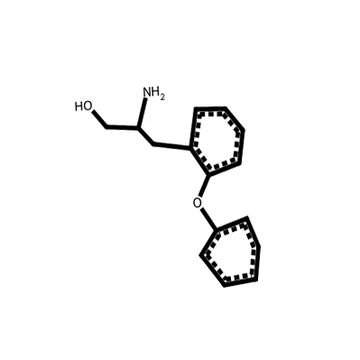 NC(CO)Cc1ccccc1Oc1ccccc1